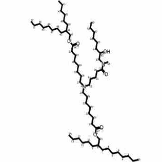 CCCCCCCCC(CCCCCC)COC(=O)CCCCCCCN(CCCCCCCC(=O)OCC(CCCCCC)CCCCCCCC)CCCCC(=O)N(C)CC(O)CCCCCC